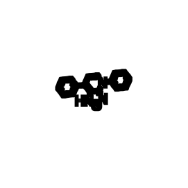 C1=CN(c2ccccc2)C2=NONC2=C1c1ccccc1